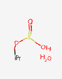 CC(C)OS(=O)O.O